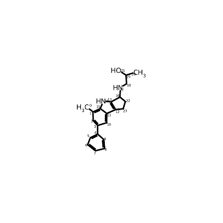 Cc1cc(-c2ccccc2)cc2c3c([nH]c12)C(NCC(C)O)CC3